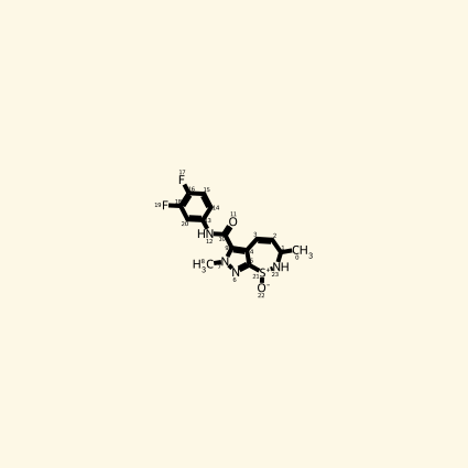 CC1C=Cc2c(nn(C)c2C(=O)Nc2ccc(F)c(F)c2)[S+]([O-])N1